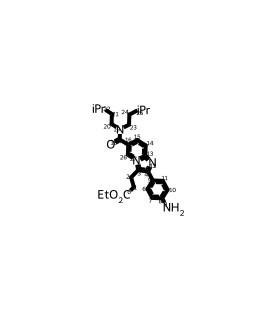 CCOC(=O)CCc1c(-c2ccc(N)cc2)nc2ccc(C(=O)N(CCC(C)C)CCC(C)C)cn12